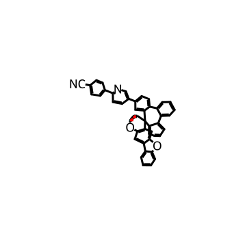 N#Cc1ccc(-c2ccc(-c3ccc4c(c3)C3(c5ccccc5Oc5cc6c(cc53)oc3ccccc36)c3ccccc3-c3ccccc3-4)cn2)cc1